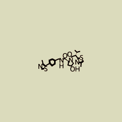 Cc1csc([C@H](C(=O)N2C[C@H](O)C[C@H]2C(=O)NCc2ccc(-c3scnc3C)cc2)C(C)C)n1